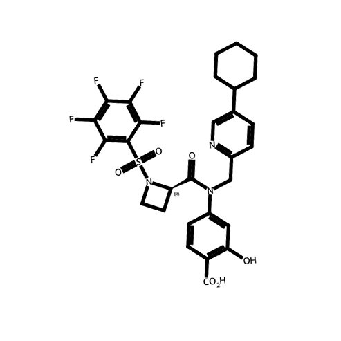 O=C(O)c1ccc(N(Cc2ccc(C3CCCCC3)cn2)C(=O)[C@H]2CCN2S(=O)(=O)c2c(F)c(F)c(F)c(F)c2F)cc1O